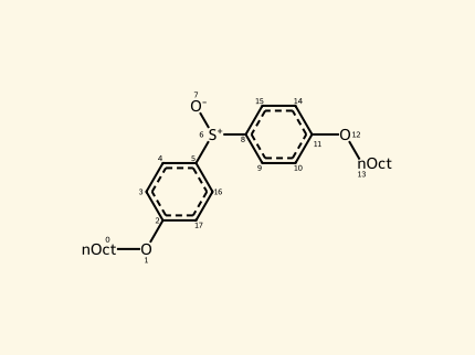 CCCCCCCCOc1ccc([S+]([O-])c2ccc(OCCCCCCCC)cc2)cc1